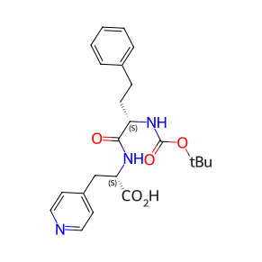 CC(C)(C)OC(=O)N[C@@H](CCc1ccccc1)C(=O)N[C@@H](Cc1ccncc1)C(=O)O